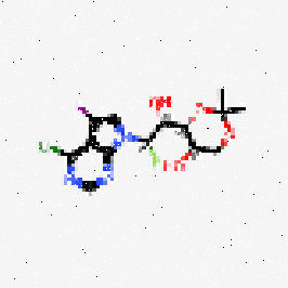 CC1(C)OC[C@@H](O)[C@H]([C@@H](O)[C@@H](F)n2cc(I)c3c(Cl)ncnc32)O1